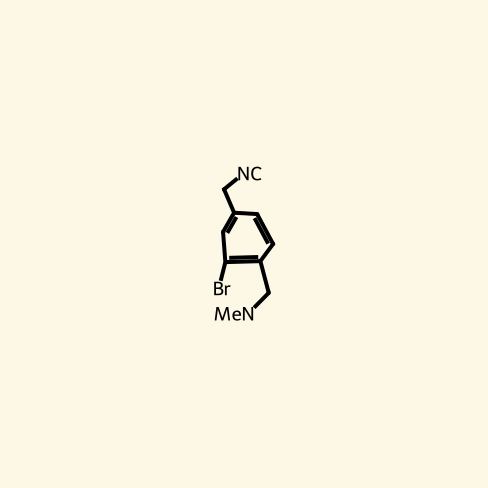 [C-]#[N+]Cc1ccc(CNC)c(Br)c1